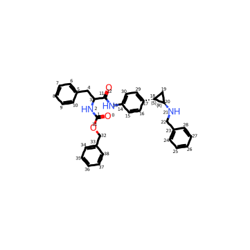 O=C(NC(Cc1ccccc1)C(=O)Nc1ccc([C@@H]2C[C@H]2NCc2ccccc2)cc1)OCc1ccccc1